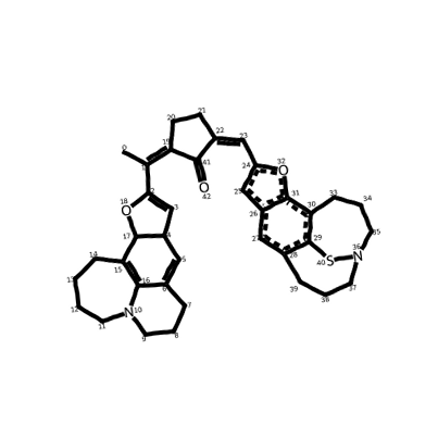 C/C(C1=CC2C=C3CCCN4CCCCC(=C34)C2O1)=C1\CC/C(=C/c2cc3cc4c5c(c3o2)CCCN(CCC4)S5)C1=O